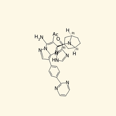 CC(=O)c1c([C@H]2C[C@H]3CC[C@@H](C2)N3C(=O)c2nc[nH]n2)nc2c(-c3ccc(-c4ncccn4)cc3)cnn2c1N